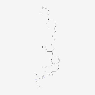 CC(C)C(=C/N)/C=C(\N)NC1C=Cc2ncc(/C(C=N)=C/NCCCN3CCN(C4=CC=NCC4)CC3)cc2N1C